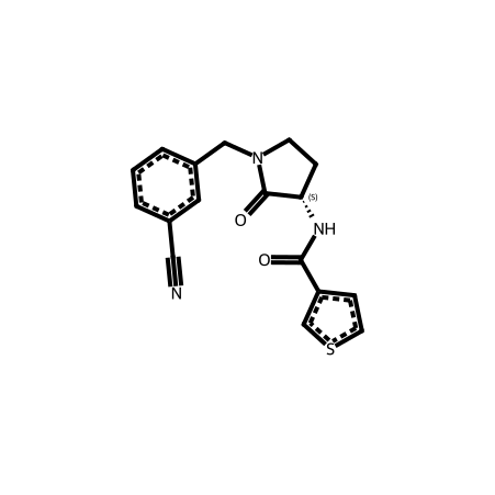 N#Cc1cccc(CN2CC[C@H](NC(=O)c3ccsc3)C2=O)c1